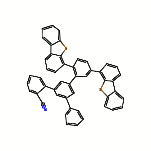 N#Cc1ccccc1-c1cc(-c2ccccc2)cc(-c2cc(-c3cccc4c3sc3ccccc34)ccc2-c2cccc3c2sc2ccccc23)c1